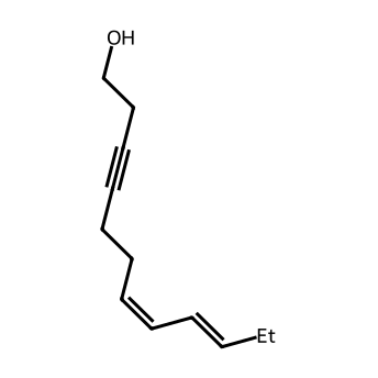 CC/C=C/C=C\CCC#CCCO